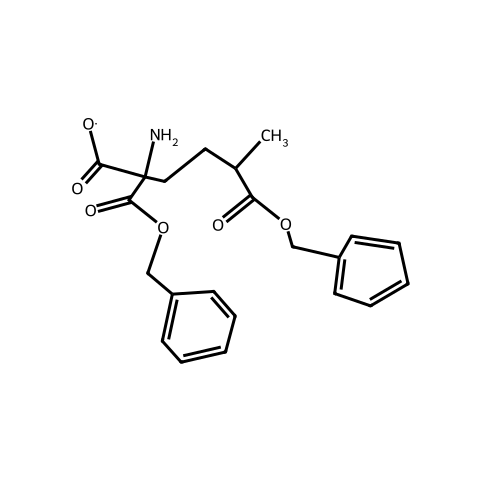 CC(CCC(N)(C([O])=O)C(=O)OCc1ccccc1)C(=O)OCc1ccccc1